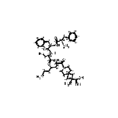 CC(C)C[C@@H](NC(=O)[C@@H](Cc1ccccc1)NC(=O)[C@H](N)Cc1ccccc1)C(=O)N[C@H](CCCCN)C(=O)N1CCC2(CC1)CC(N)(C(O)O)C2